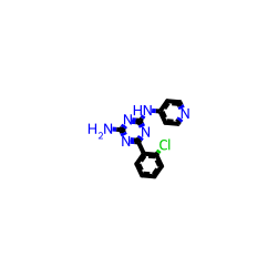 Nc1nc(Nc2ccncc2)nc(-c2ccccc2Cl)n1